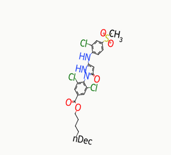 CCCCCCCCCCCCCCOC(=O)c1cc(Cl)c(-n2[nH]c(Nc3ccc(S(C)(=O)=O)cc3Cl)cc2=O)c(Cl)c1